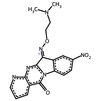 CN(C)CCO/N=C1\c2cc([N+](=O)[O-])ccc2-n2c1nc1ncccc1c2=O